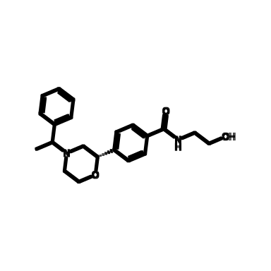 CC(c1ccccc1)N1CCO[C@@H](c2ccc(C(=O)NCCO)cc2)C1